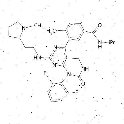 Cc1ccc(C(=O)NC(C)C)cc1-c1nc(NCCC2CCCN2C)nc2c1CNC(=O)N2c1c(F)cccc1F